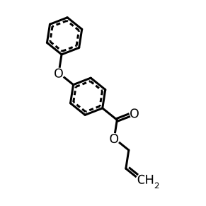 C=CCOC(=O)c1ccc(Oc2ccccc2)cc1